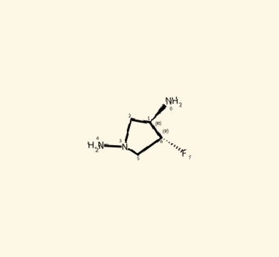 N[C@@H]1CN(N)C[C@H]1F